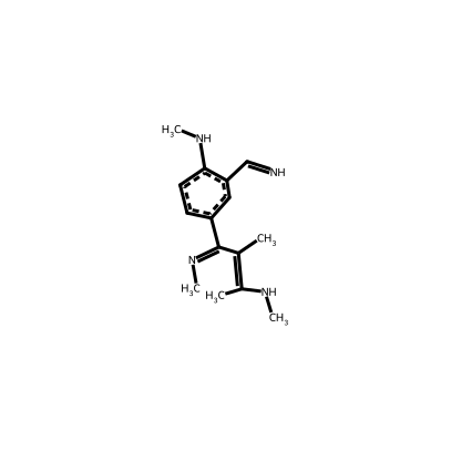 C/N=C(\C(C)=C(/C)NC)c1ccc(NC)c(C=N)c1